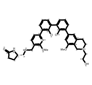 COc1cc(-c2cccc(-c3cccc(-c4ccc(CNC[C@@H]5CCC(=O)N5)c(OC)n4)c3Cl)c2Cl)cc2c1CN(CCO)CC2